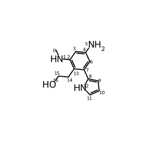 CNc1cc(N)cc(-c2ccc[nH]2)c1CCO